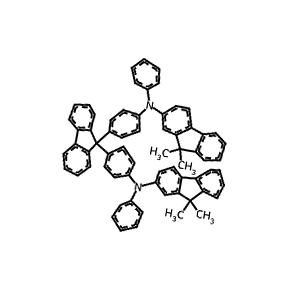 CC1(C)c2ccccc2-c2ccc(N(c3ccccc3)c3ccc(C4(c5ccc(N(c6ccccc6)c6ccc7c(c6)C(C)(C)c6ccccc6-7)cc5)c5ccccc5-c5ccccc54)cc3)cc21